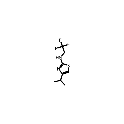 CC(C)c1csc(NCC(F)(F)F)n1